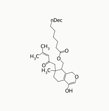 CCCCCCCCCCCCCCCC(=O)OCC1C2=C(CCC1(C)CC(=O)C=C(C)C)C(O)=COC2